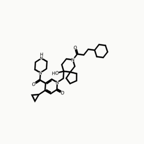 O=C(CCC1CCCCC1)N1CCC(O)(Cn2cc(C(=O)N3CCNCC3)c(C3CC3)cc2=O)C2(CCCC2)C1